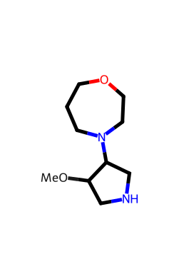 COC1CNCC1N1CCCOCC1